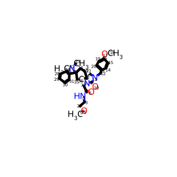 COCCNC(=O)CN1C(=O)N(Cc2ccc(OC)cc2)C[C@]12CC[C@](c1ccccc1)(N(C)C)CC2